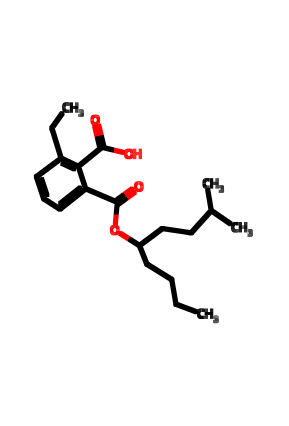 CCCCC(CCC(C)C)OC(=O)c1cccc(CC)c1C(=O)O